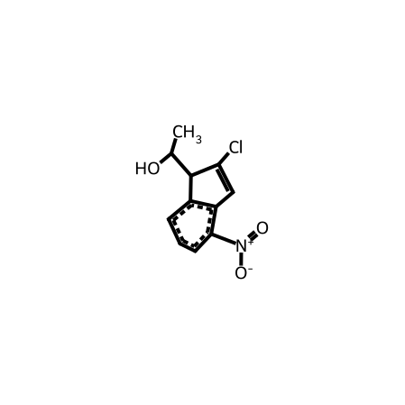 CC(O)C1C(Cl)=Cc2c1cccc2[N+](=O)[O-]